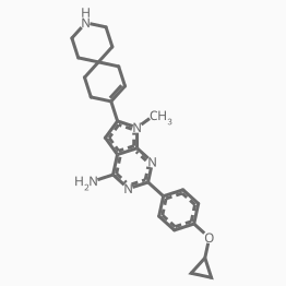 Cn1c(C2=CCC3(CCNCC3)CC2)cc2c(N)nc(-c3ccc(OC4CC4)cc3)nc21